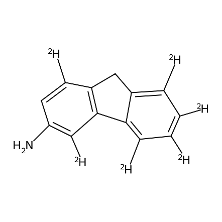 [2H]c1cc(N)c([2H])c2c1Cc1c([2H])c([2H])c([2H])c([2H])c1-2